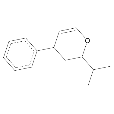 CC(C)C1CC(c2ccccc2)C=CO1